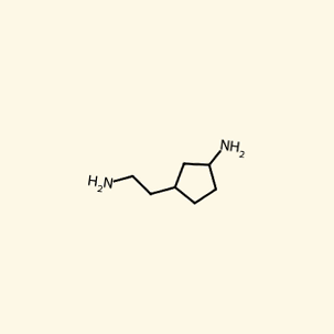 NCCC1CCC(N)C1